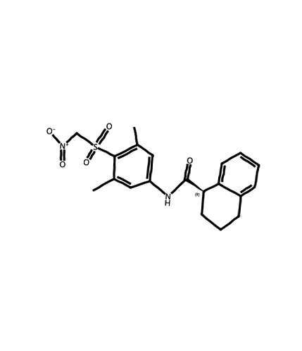 Cc1cc(NC(=O)[C@@H]2CCCc3ccccc32)cc(C)c1S(=O)(=O)C[N+](=O)[O-]